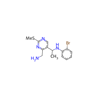 CSc1ncc(C(C)Nc2ccccc2Br)c(CN)n1